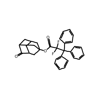 O=C1C2CC3CC1CC(OC(=O)C(F)(F)C(c1ccccc1)(c1ccccc1)c1ccccc1)(C3)C2